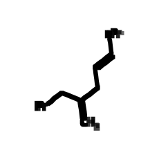 C=C(CC=C[CH]CC)CC(C)C